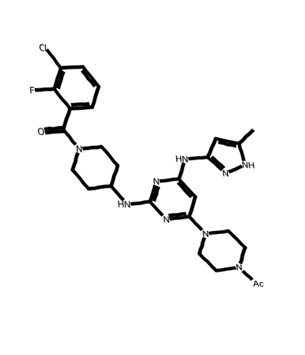 CC(=O)N1CCN(c2cc(Nc3cc(C)[nH]n3)nc(NC3CCN(C(=O)c4cccc(Cl)c4F)CC3)n2)CC1